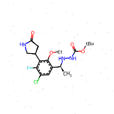 CCOc1c([C@H](C)NNC(=O)OC(C)(C)C)cc(Cl)c(F)c1C1CNC(=O)C1